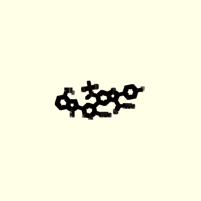 CNC(=O)c1c(-c2ccc(F)cc2)oc2cc(N(C)S(C)(=O)=O)c(-c3cc(-c4cc5c(N)cccc5[nH]4)nnc3OC)cc12